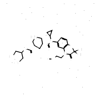 CCOCCN1C(=O)C(C)(C)Oc2ccc(N(C(=O)[C@H]3CNC[C@@H](C(=O)NC(CC(C)C)CC(C)C)C3)C3CC3)cc21